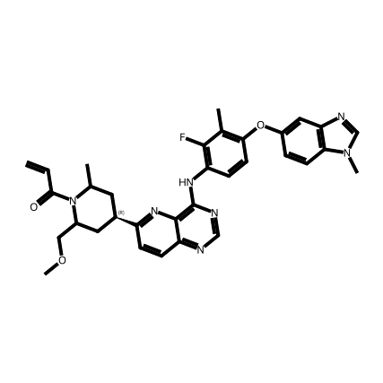 C=CC(=O)N1C(C)C[C@@H](c2ccc3ncnc(Nc4ccc(Oc5ccc6c(c5)ncn6C)c(C)c4F)c3n2)CC1COC